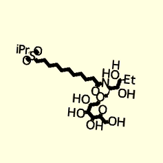 CC[C@@H](O)[C@@H](O)[C@H](COC1OC(CO)C(O)C(O)C1O)NC(=O)CCCCCCCCCCS(=O)(=O)C(C)C